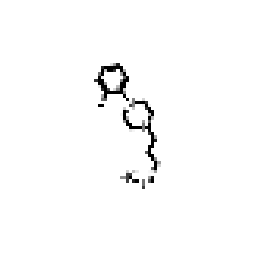 O=S(=O)(O)CCCN1CCN(c2ccccc2F)CC1